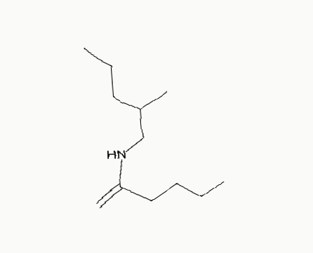 C=C(CCCC)NCC(C)CCC